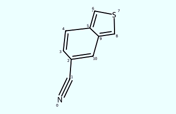 N#Cc1ccc2[c]scc2c1